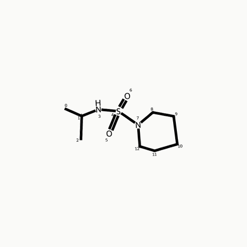 C[C](C)NS(=O)(=O)N1CCCCC1